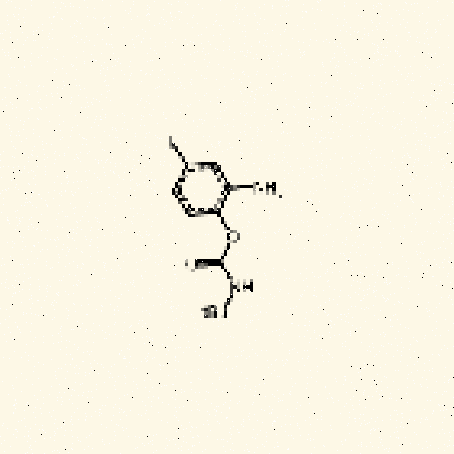 CC(C)(C)NC(=O)Oc1ccc(I)cc1N